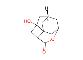 O=C1OC2C[C@H]3CC4(O)CC1C4(C2)C3